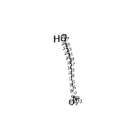 O=C1CCCN1CCCCCCCCCCCCCCCCCCCCCCO